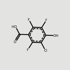 O=C(O)c1c(F)c(F)c(O)c(Cl)c1F